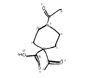 CC(=O)N1CCC(C(C)=O)(C(=O)O)CC1